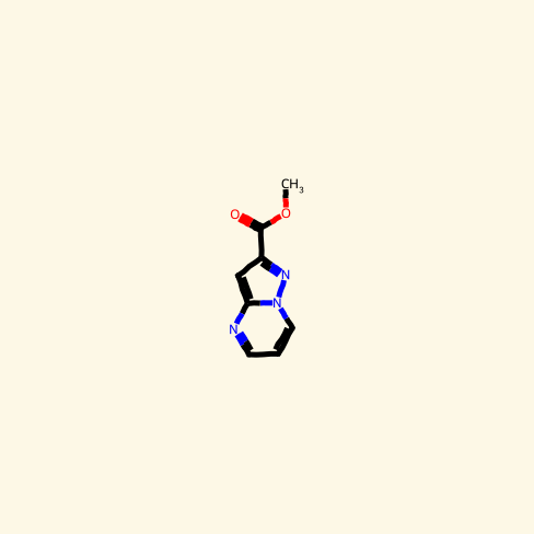 COC(=O)c1cc2ncccn2n1